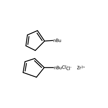 CCCCC1=CC=CC1.CCCCC1=CC=CC1.[Cl-].[Cl-].[Zr+2]